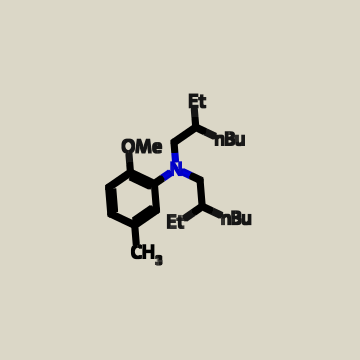 CCCCC(CC)CN(CC(CC)CCCC)c1cc(C)ccc1OC